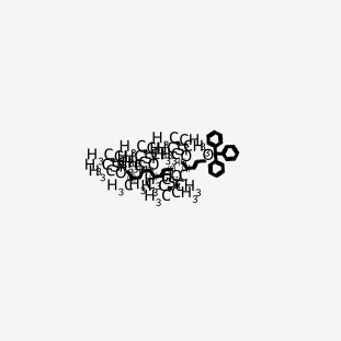 C[C@@H](CO[Si](C)(C)C(C)(C)C)C[C@@H](C)[C@@H](O[Si](C)(C)C(C)(C)C)[C@@H](C)C=C[C@H](C[C@H](O[Si](C)(C)C(C)(C)C)[C@@H](C)C=CCOC(c1ccccc1)(c1ccccc1)c1ccccc1)O[Si](C)(C)C(C)(C)C